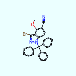 COc1c(C#N)ccc2c1c(Br)nn2C(c1ccccc1)(c1ccccc1)c1ccccc1